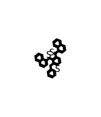 S=C(c1ccc2c(c1C(=S)c1cccc3ccccc13)Cc1ccccc1S2)c1cccc2ccccc12